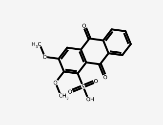 COc1cc2c(c(S(=O)(=O)O)c1OC)C(=O)c1ccccc1C2=O